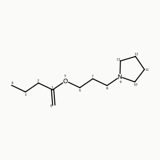 C=C(CCC)OCCCN1CCCC1